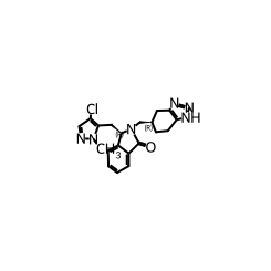 Cn1ncc(Cl)c1C[C@@H]1c2ccccc2C(=O)N1C[C@@H]1CCc2[nH]nnc2C1